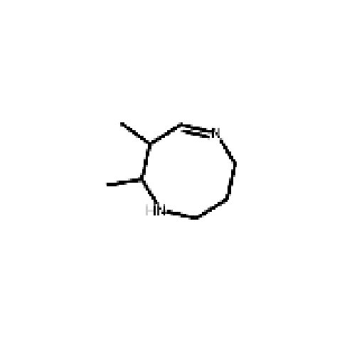 CC1/C=N\CCCNC1C